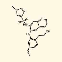 COc1ccc(CCO)c(Nc2nc3ccccc3nc2NS(=O)(=O)c2cn(C)cn2)c1